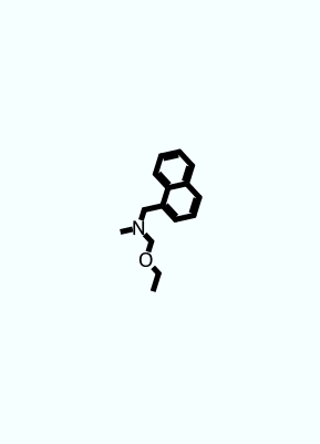 CCOCN(C)Cc1cccc2ccccc12